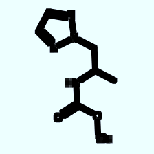 CC(Cn1nccn1)NC(=O)OC(C)(C)C